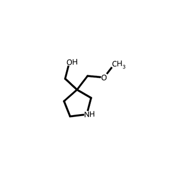 COCC1(CO)CCNC1